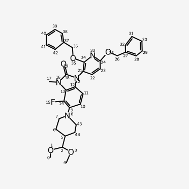 COC(OC)C1CCN(c2ccc3c(c2F)n(C)c(=O)n3-c2ccc(OCc3ccccc3)nc2OCc2ccccc2)CC1